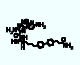 N=C(NCCCCc1ccc(-c2ccc(CCC(N)=O)cc2)cc1)NC(=O)c1nc(-n2ccc(N)nc2=O)c(N)nc1N